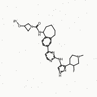 CC(C)OC1CN(C(=O)NC2CCCCc3cc(-c4ccnc(Nc5c[nH]nc5C5CCN(C)CC5F)n4)ccc32)C1